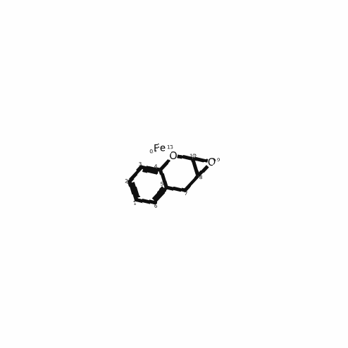 [Fe].c1ccc2c(c1)CC1OC1O2